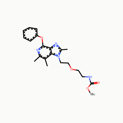 Cc1nc(Oc2ccccc2)c2nc(C)n(CCOCCNC(=O)OC(C)(C)C)c2c1C